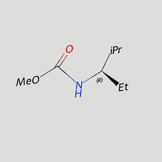 CC[C@@H](NC(=O)OC)C(C)C